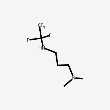 CN(C)CCCNC(F)(F)C(F)(F)F